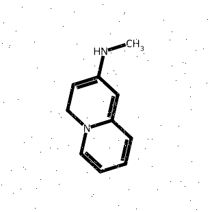 CNC1=CCN2C=CC=CC2=C1